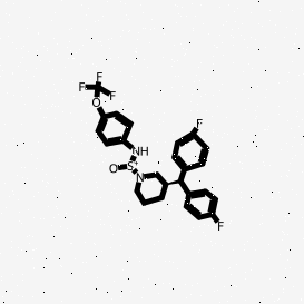 [O-][S+](Nc1ccc(OC(F)(F)F)cc1)N1CCC[C@H](C(c2ccc(F)cc2)c2ccc(F)cc2)C1